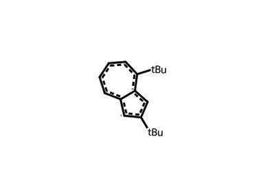 CC(C)(C)c1[c]c2ccccc(C(C)(C)C)c-2c1